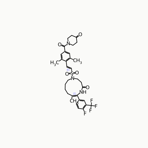 C/C1=C(\c2ccc(F)c(C(F)(F)F)c2)NC(=O)CCN(S(=O)(=O)/C=C/c2c(C)cc(C(=O)N3CCC(=O)CC3)cc2C)CCCC1